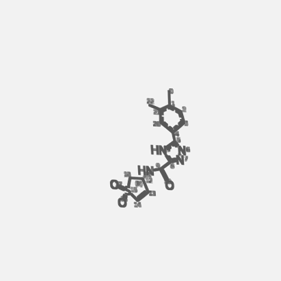 Cc1ccc(-c2nnc(C(=O)N[C@@H]3C=CS(=O)(=O)C3)[nH]2)cc1C